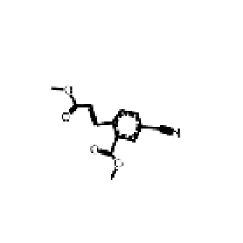 COC(=O)/C=C/c1ccc(C#N)cc1C(=O)OC